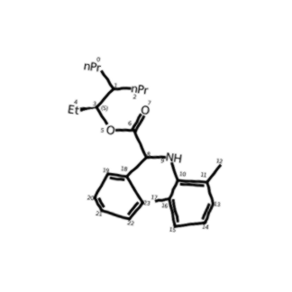 CCCC(CCC)[C@H](CC)OC(=O)C(Nc1c(C)cccc1C)c1ccccc1